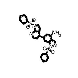 Nc1cc(-c2ccnc3c2ccn3S(=O)(=O)c2ccccc2)cc2c1cnn2S(=O)(=O)c1ccccc1